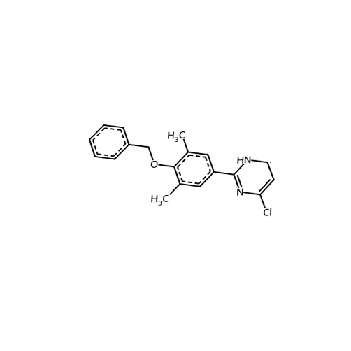 Cc1cc(C2=NC(Cl)=C[CH]N2)cc(C)c1OCc1ccccc1